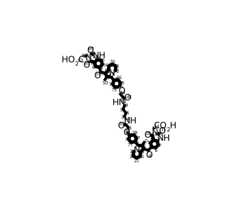 Cc1c(C(=O)c2ccc3[nH]c(=O)n(CC(=O)O)c(=O)c3c2)c2ccccn2c1-c1ccc(OCC(=O)NCCCCNC(=O)COc2ccc(-c3c(C)c(C(=O)c4ccc5[nH]c(=O)n(CC(=O)O)c(=O)c5c4)c4ccccn34)cc2)cc1